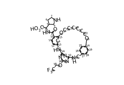 O=C(NC(C(=O)O)C1CCNC1)c1ccc2cc1OCCCCCCOc1ccc(cc1)CNc1nc(nc(OCC(F)(F)F)n1)N2